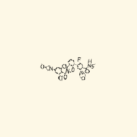 COC1CN(c2cc(Cl)c(C(=O)N3COc4c(cccc4-c4cc(N5C6CCC5COC6)c(C(=O)NSC)cc4F)C3)c(Cl)c2)C1